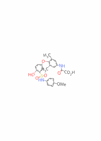 COc1ccc(NS(=O)(=O)c2cc(Oc3c(C)cc(NC(=O)C(=O)O)cc3C)ccc2O)cc1